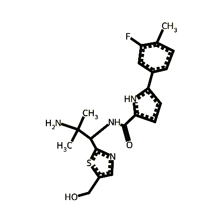 Cc1ccc(-c2ccc(C(=O)NC(c3ncc(CO)s3)C(C)(C)N)[nH]2)cc1F